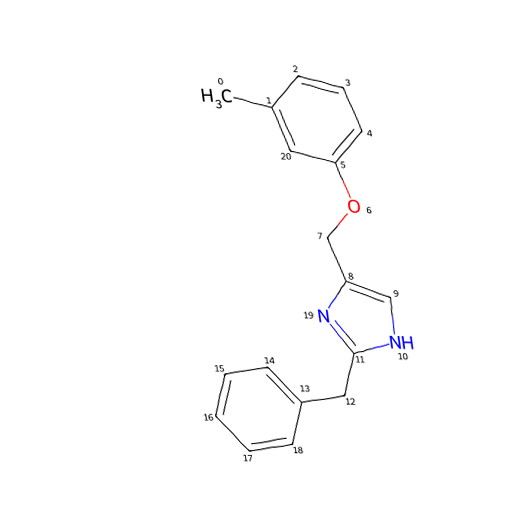 Cc1cccc(OCc2c[nH]c(Cc3ccccc3)n2)c1